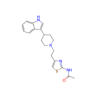 CC(=O)Nc1nc(CCN2CCC(c3c[nH]c4ccccc34)CC2)cs1